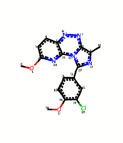 COc1ccc2nnc3c(C)nc(-c4ccc(OC)c(Cl)c4)n3c2n1